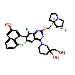 OCC1(O)CCCN(c2nc(OC[C@@]34CCCN3C[C@H](F)C4)nc3c(F)c(-c4cc(O)cc5cccc(Cl)c45)c(F)cc23)C1